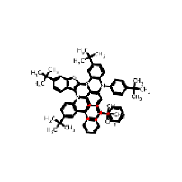 CC(C)(C)c1ccc(-c2cc(C(C)(C)C)ccc2N2c3cc(N(c4ccccc4)c4ccccc4)cc4c3B(c3cc(C(C)(C)C)ccc3N4c3ccc(C(C)(C)C)cc3)c3sc4cc(C(C)(C)C)ccc4c32)cc1